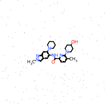 Cc1ccc(C(=O)Nc2cc3cn(C)nc3cc2N2CCCCC2)nc1N1CCC(O)CC1